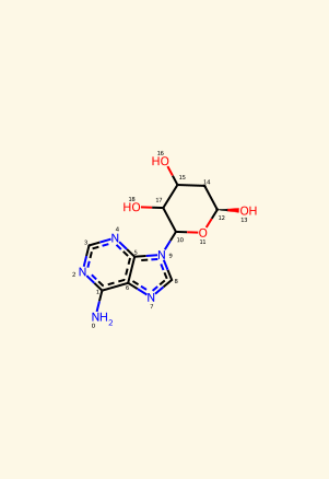 Nc1ncnc2c1ncn2C1O[C@H](O)CC(O)C1O